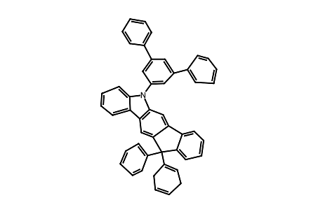 C1=CCC(C2(c3ccccc3)c3ccccc3-c3cc4c(cc32)c2ccccc2n4-c2cc(-c3ccccc3)cc(-c3ccccc3)c2)=CC1